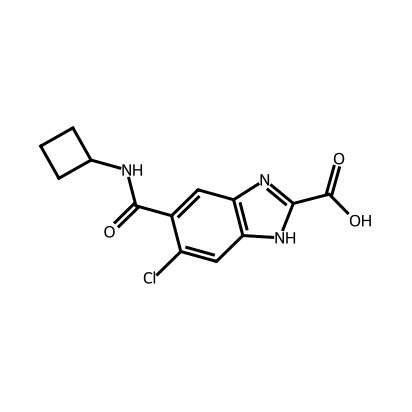 O=C(O)c1nc2cc(C(=O)NC3CCC3)c(Cl)cc2[nH]1